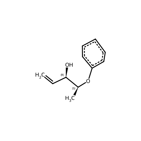 C=C[C@@H](O)[C@H](C)Oc1ccccc1